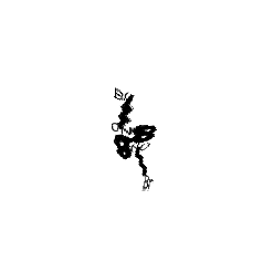 O=C(CCCCCBr)Nc1ccc2ccccc2c1-c1c(NC(=O)CCCCCBr)ccc2ccccc12